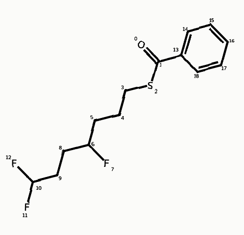 O=C(SCCCC(F)CCC(F)F)c1ccccc1